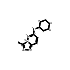 Cc1nnc2ccc(OC3CCCCC3)nn12